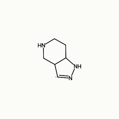 [C]1=NNC2CCNCC12